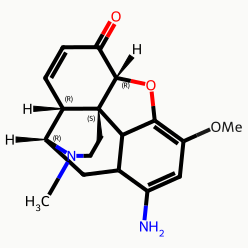 COC1=C2O[C@H]3C(=O)C=C[C@H]4[C@H]5CC(C(N)=C1)C2[C@@]34CCN5C